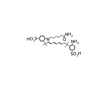 CC(C)(C/C=C/C=C/C=C1\N(CCCCCC(N)=O)c2ccc(S(=O)(=O)O)cc2C1(C)C)c1cc(S(=O)(=O)O)ccc1N